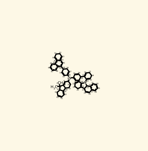 CC1(C)C2=CC(N(C3=CCC(C4=CCCC=C4N4C5=C(CCC=C5)C5C=Cc6ccccc6C54)C=C3)C3=CCC(c4cc5c(c6ccccc46)=CCCC=5)C=C3)CCC2C2=CC=CCC21